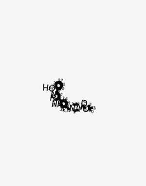 CC(C)(C)OC(=O)N1CCN(Cc2ccc(-c3cc(-c4ccccc4O)nnc3N)cc2)CC1